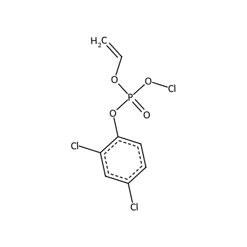 C=COP(=O)(OCl)Oc1ccc(Cl)cc1Cl